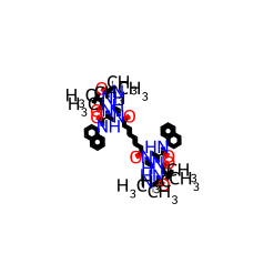 CN[C@@H](C)C(=O)N[C@H](C(=O)N1CCN(C(=O)C/C=C/C=C/CC(=O)N2CCN(C(=O)[C@@H](NC(=O)[C@H](C)NC)C(C)(C)C)[C@H](C(=O)N[C@@H]3CCCc4ccccc43)C2)C[C@H]1C(=O)N[C@@H]1CCCc2ccccc21)C(C)(C)C